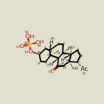 CC(=O)[C@H]1CC[C@H]2[C@@H]3CC[C@H]4C[C@H](OP(=O)(O)O)CC[C@]4(C)[C@H]3C(=O)C[C@]12C